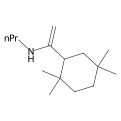 C=C(NCCC)C1CC(C)(C)CCC1(C)C